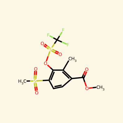 COC(=O)c1ccc(S(C)(=O)=O)c(OS(=O)(=O)C(F)(F)F)c1C